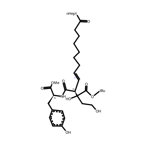 CCCCCCCC(=O)CCCCCC/C=C/[C@H](C(=O)N[C@@H](Cc1ccc(O)cc1)C(=O)OC)C(O)(CCO)C(=O)OC(C)(C)C